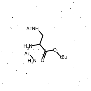 CC(=O)NCC(N)C(=O)OC(C)(C)C.CC(N)=O